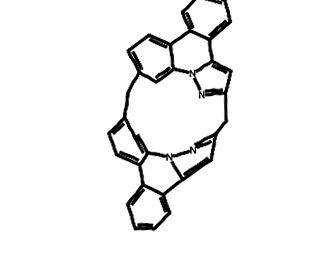 c1ccc2c(c1)c1ccc3cc1n1nc(cc21)Cc1cc2c4ccccc4c4ccc(cc4n2n1)C3